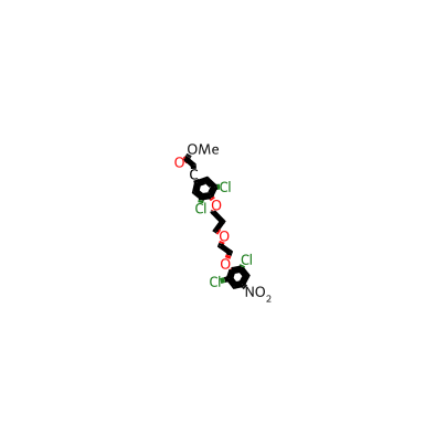 COC(=O)CCc1cc(Cl)c(OCCCOCCOc2c(Cl)cc([N+](=O)[O-])cc2Cl)c(Cl)c1